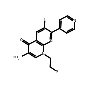 O=C(O)c1cn(CCF)c2nc(-c3ccncc3)c(F)cc2c1=O